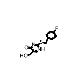 O=c1nc(SCc2ccc(F)cc2)[nH]cc1CO